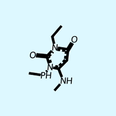 CCn1c(=O)cc(NC)n(PC)c1=O